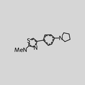 CNc1nc(-c2ccc(N3CCCC3)cc2)cs1